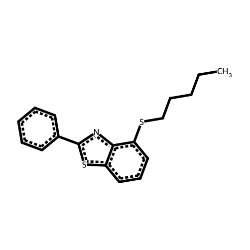 CCCCCSc1cccc2sc(-c3ccccc3)nc12